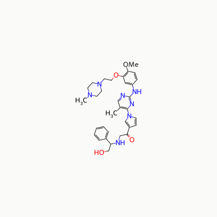 COc1ccc(Nc2ncc(C)c(-n3ccc(C(=O)CNC(CO)c4ccccc4)c3)n2)cc1OCCN1CCN(C)CC1